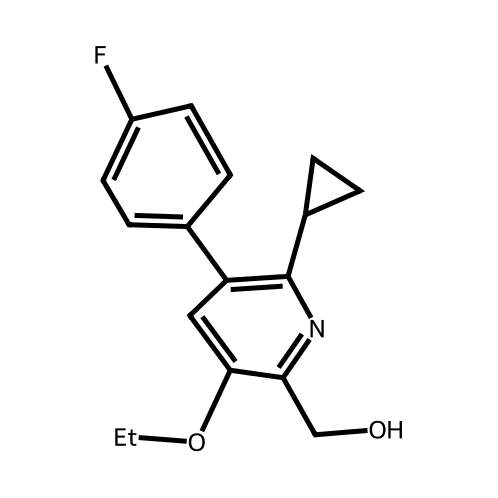 CCOc1cc(-c2ccc(F)cc2)c(C2CC2)nc1CO